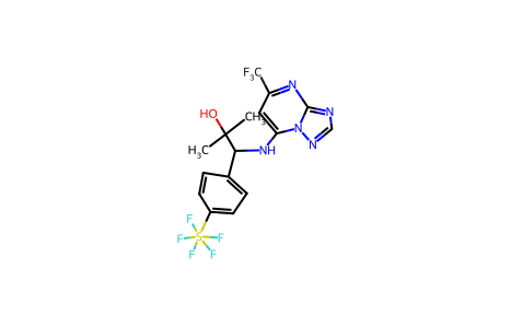 CC(C)(O)C(Nc1cc(C(F)(F)F)nc2ncnn12)c1ccc(S(F)(F)(F)(F)F)cc1